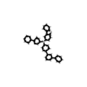 c1ccc(-c2ccc(N(c3ccc(-c4cccc(-c5ccccc5)c4)cc3)c3ccc4oc5ccccc5c4c3)cc2)cc1